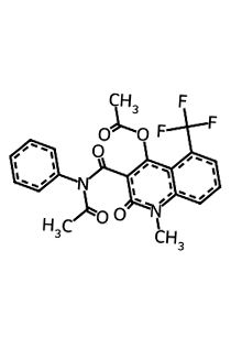 CC(=O)Oc1c(C(=O)N(C(C)=O)c2ccccc2)c(=O)n(C)c2cccc(C(F)(F)F)c12